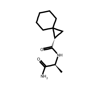 C[C@H](NC(=O)[C@H]1CC12CCCCC2)C(N)=O